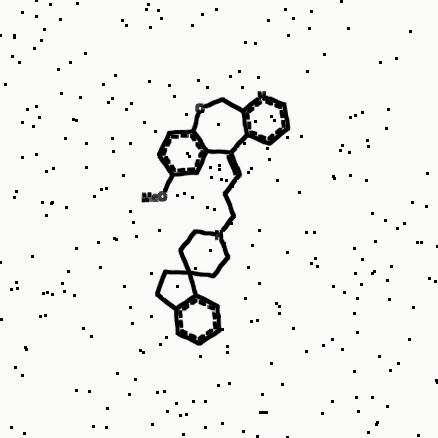 COc1ccc2c(c1)C(=CCCN1CCC3(CCc4ccccc43)CC1)c1cccnc1CO2